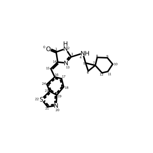 O=C1NC(NC2CC23CCCCC3)=N/C1=C\c1ccc2ncsc2c1